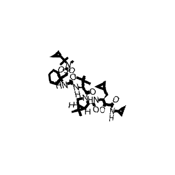 CN(C(C)(C)C1CC1)S(=O)(=O)CC1(NC(=O)N[C@H](C(=O)N2C[C@H]3[C@@H]([C@H]2C(=O)N[C@@H](CC2CC2)C(=O)C(=O)NC2CC2)C3(C)C)C(C)(C)C)CCCCC1